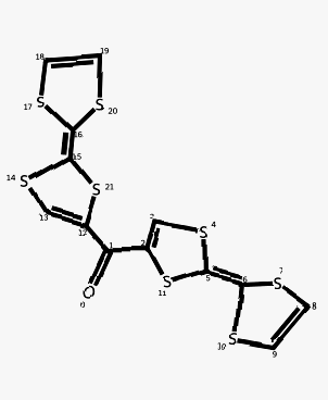 O=C(C1=CSC(=C2SC=CS2)S1)C1=CSC(=C2SC=CS2)S1